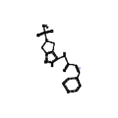 NS(=O)(=O)N1Cc2n[nH]c(NC(=O)/C=C\c3ccncc3)c2C1